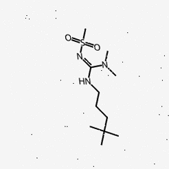 CN(C)/C(=N\S(C)(=O)=O)NCCCC(C)(C)C